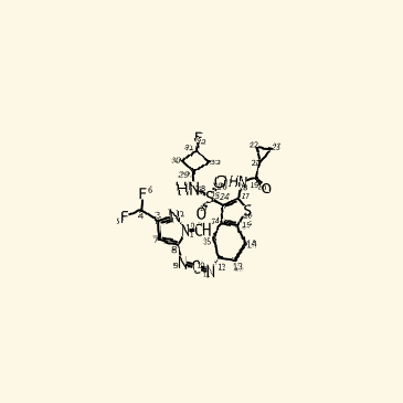 Cn1nc(C(F)F)cc1N=C=N[C@H]1CCc2sc(NC(=O)C3CC3)c(S(=O)(=O)NC3CC(F)C3)c2C1